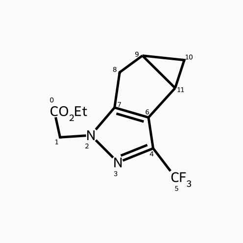 CCOC(=O)Cn1nc(C(F)(F)F)c2c1CC1CC21